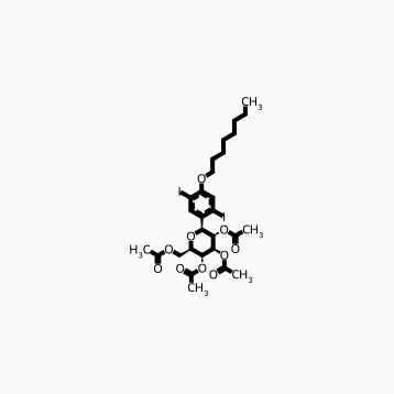 CCCCCCCCOc1cc(I)c([C@@H]2O[C@H](COC(C)=O)[C@@H](OC(C)=O)[C@H](OC(C)=O)[C@H]2OC(C)=O)cc1I